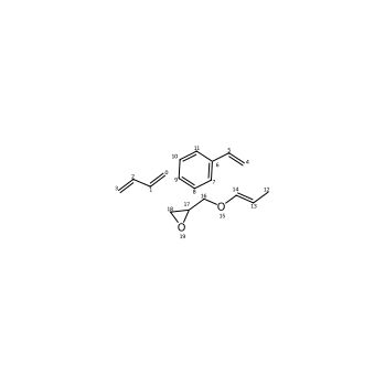 C=CC=C.C=Cc1ccccc1.CC=COCC1CO1